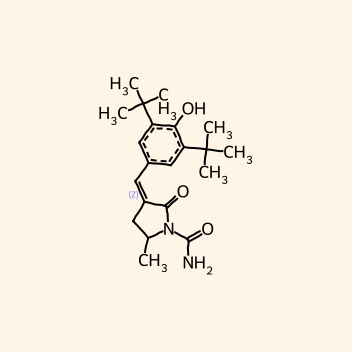 CC1C/C(=C/c2cc(C(C)(C)C)c(O)c(C(C)(C)C)c2)C(=O)N1C(N)=O